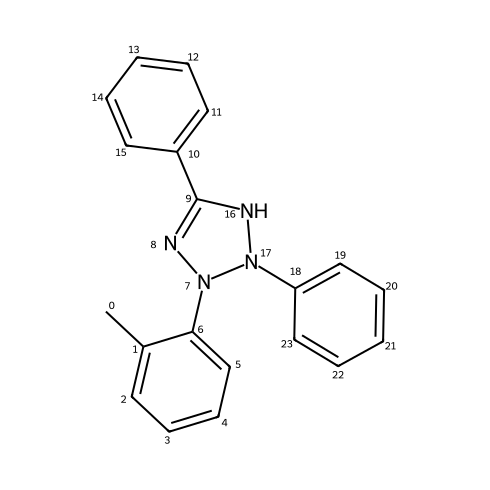 Cc1ccccc1N1N=C(c2ccccc2)NN1c1ccccc1